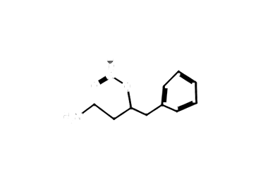 NCCC(Cc1ccccc1)O[SH](=O)=O